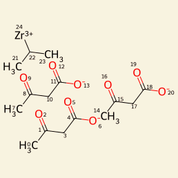 CC(=O)CC(=O)[O-].CC(=O)CC(=O)[O-].CC(=O)CC(=O)[O-].C[CH](C)[Zr+3]